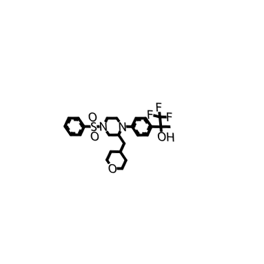 CC(O)(c1ccc(N2CCN(S(=O)(=O)c3ccccc3)CC2CC2CCOCC2)cc1)C(F)(F)F